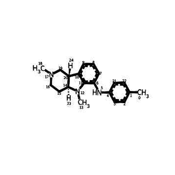 Cc1ccc(Nc2cccc3c2N(C)[C@H]2CCN(C)C[C@H]32)cc1